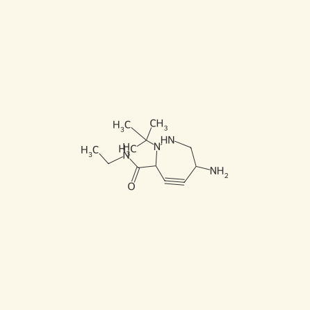 CCNC(=O)C1C#CC(N)CNN1C(C)(C)C